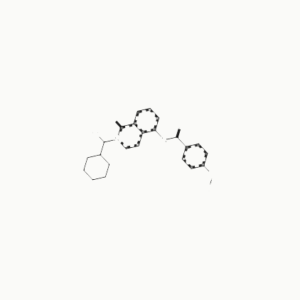 CCOc1ccc(C(=O)Nc2cccc3c(=O)n(C(O)C4CCCCC4)ccc23)cc1